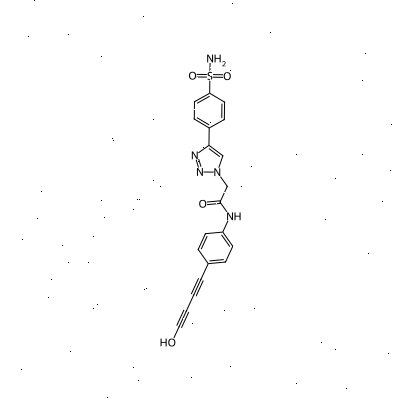 NS(=O)(=O)c1ccc(-c2cn(CC(=O)Nc3ccc(C#CC#CO)cc3)nn2)cc1